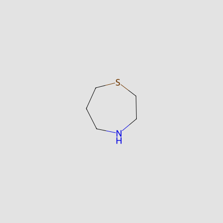 C1CNCCSC1